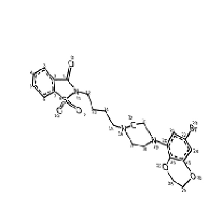 O=C1c2ccccc2S(=O)(=O)N1CCCCN1CCN(c2cc(Br)cc3c2OCCO3)CC1